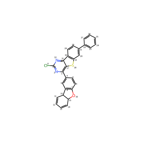 Clc1nc(-c2ccc3c(c2)C2C=CC=CC2O3)c2sc3cc(-c4ccccc4)ccc3c2n1